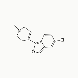 CN1CC=C(c2occ3cc(Cl)ccc23)CC1